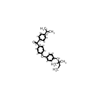 CCC(C)(C)Oc1ccc(Oc2ccc(C(=O)c3ccc(C(C)C)cc3)cc2)cc1